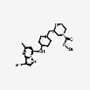 Cc1cc(NC2CCN(C[C@@H]3CN(C(=O)OC(C)(C)C)CCO3)CC2)n2ncc(C(C)C)c2n1